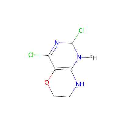 [2H]N1C2=C(OCCN2)C(Cl)=NC1Cl